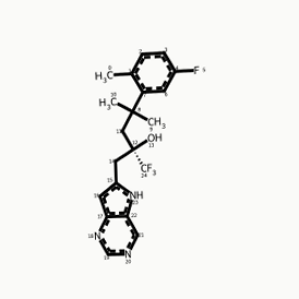 Cc1ccc(F)cc1C(C)(C)C[C@@](O)(Cc1cc2ncncc2[nH]1)C(F)(F)F